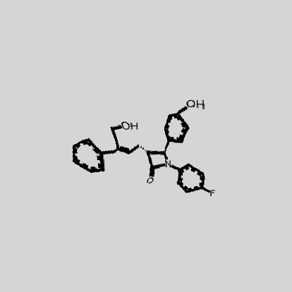 O=C1[C@H](C/C=C(\CO)c2ccccc2)[C@@H](c2ccc(O)cc2)N1c1ccc(F)cc1